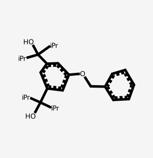 CC(C)C(O)(c1cc(OCc2ccccc2)cc(C(O)(C(C)C)C(C)C)c1)C(C)C